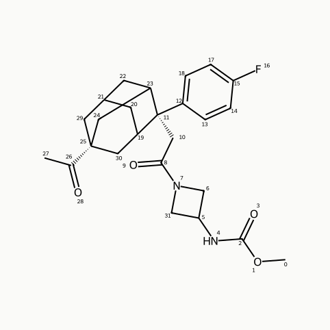 COC(=O)NC1CN(C(=O)C[C@]2(c3ccc(F)cc3)C3CC4CC2C[C@](C(C)=O)(C4)C3)C1